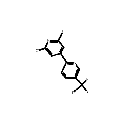 Fc1cc(-c2ccc(C(F)(F)F)cn2)cc(Cl)n1